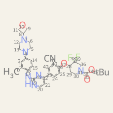 Cc1cc(N2CCN(C3COC3)CC2)ccc1Nc1nccc(-c2ccc(OC3CCN(C(=O)OC(C)(C)C)CC3(F)F)c(C#N)c2)n1